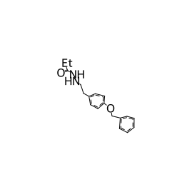 CCC(=O)NNCCc1ccc(OCc2ccccc2)cc1